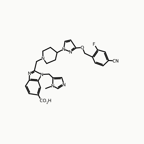 Cn1cncc1Cn1c(CN2CCC(n3ccc(OCc4ccc(C#N)cc4F)n3)CC2)nc2ccc(C(=O)O)cc21